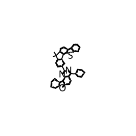 CC1(C)c2ccc(-c3nc(-c4ccccc4)c4ccc5oc6ccccc6c5c4n3)cc2-c2c1ccc1c2sc2ccccc21